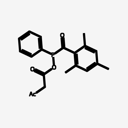 CC(=O)CC(=O)OP(C(=O)c1c(C)cc(C)cc1C)c1ccccc1